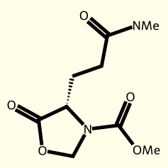 CNC(=O)CC[C@H]1C(=O)OCN1C(=O)OC